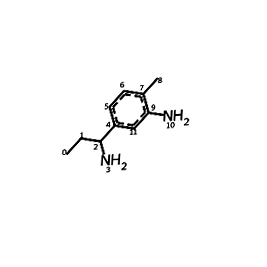 CCC(N)c1ccc(C)c(N)c1